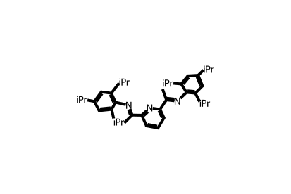 C/C(=N\c1c(C(C)C)cc(C(C)C)cc1C(C)C)c1cccc(/C(C)=N/c2c(C(C)C)cc(C(C)C)cc2C(C)C)n1